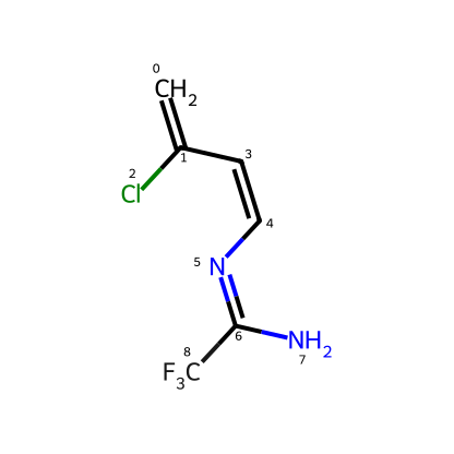 C=C(Cl)/C=C\N=C(/N)C(F)(F)F